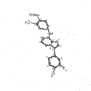 CC(=O)Nc1ccc(Nc2nccn3c(-c4ccc(Cl)c(F)c4)cnc23)cc1C